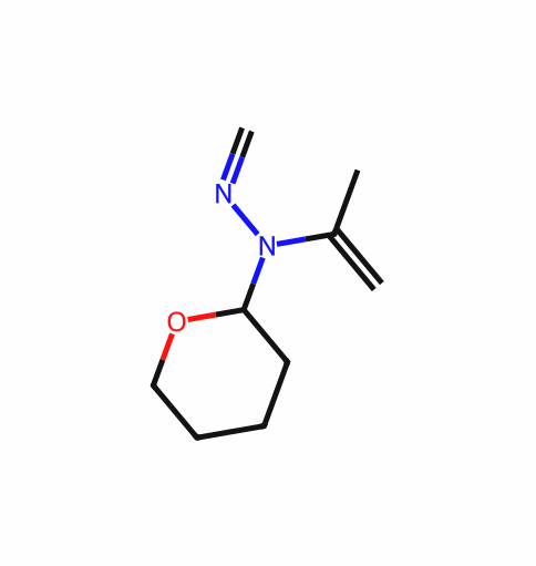 C=NN(C(=C)C)C1CCCCO1